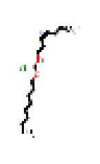 CCCCCCCCOCOCC/C=C\C[CH2][Mg+].[Cl-]